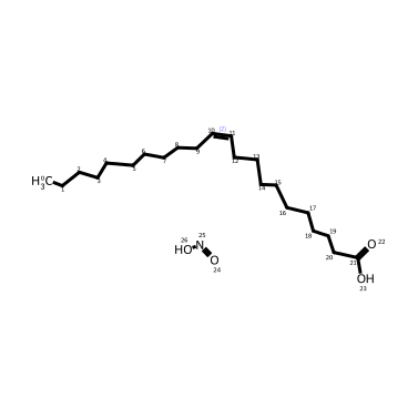 CCCCCCCCCC/C=C\CCCCCCCCCC(=O)O.O=NO